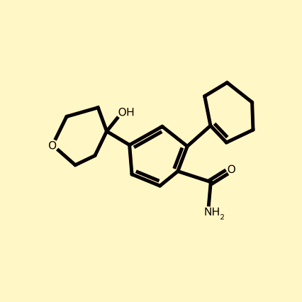 NC(=O)c1ccc(C2(O)CCOCC2)cc1C1=CCCCC1